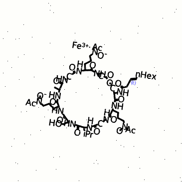 CCCCCC/C=C/CC(=O)NC1COC(=O)CNC(=O)C(CCCN([O-])C(C)=O)NC(=O)CNC(=O)C(C)NC(=O)C(CCCN([O-])C(C)=O)NC(=O)C(CO)NC(=O)C(C(C)C)NC(=O)CNC(=O)C(CCCN([O-])C(C)=O)NC1=O.[Fe+3]